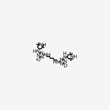 COc1nc(NCCCCCCNc2nc(NC3CC(C)(C)NC(C)(C)C3)nc(OC)n2)nc(NC2CC(C)(C)NC(C)(C)C2)n1